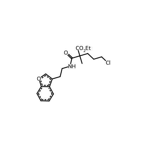 CCOC(=O)C(C)(CCCCl)C(=O)NCCc1coc2ccccc12